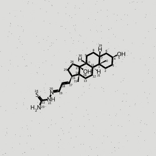 C[C@]12CC[C@H](O)C[C@H]1CC[C@@H]1[C@@H]2CC[C@]2(C)[C@@H](/C=C/C=N/NC(N)=S)CC[C@]12O